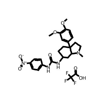 COc1ccc(C23CCC(NC(=O)Nc4ccc([N+](=O)[O-])cc4)CC2N(C)CC3)cc1OC.O=C(O)C(F)(F)F